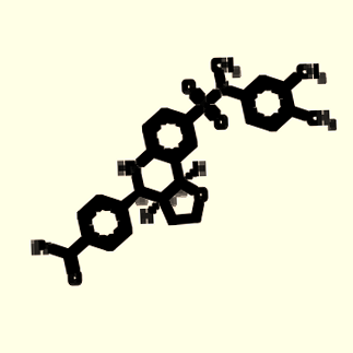 Cc1ccc(N(C)S(=O)(=O)c2ccc3c(c2)[C@H]2OCC[C@H]2[C@@H](c2ccc(C(=O)C(C)C)cc2)N3)cc1C